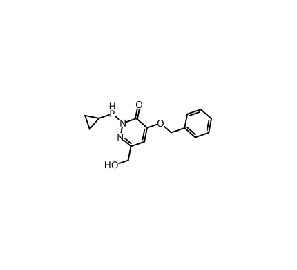 O=c1c(OCc2ccccc2)cc(CO)nn1PC1CC1